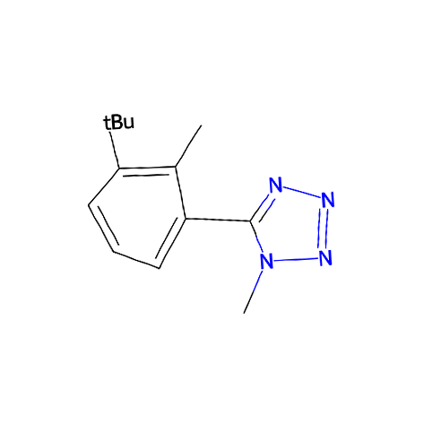 Cc1c(-c2nnnn2C)cccc1C(C)(C)C